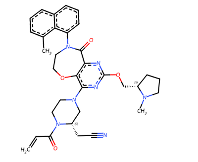 C=CC(=O)N1CCN(c2nc(OC[C@@H]3CCCN3C)nc3c2OCCN(c2cccc4cccc(C)c24)C3=O)C[C@@H]1CC#N